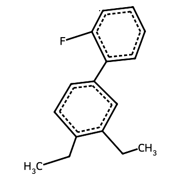 CCc1ccc(-c2ccc[c]c2F)cc1CC